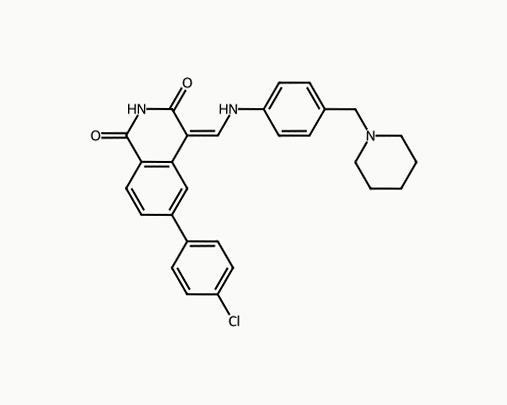 O=C1NC(=O)c2ccc(-c3ccc(Cl)cc3)cc2/C1=C/Nc1ccc(CN2CCCCC2)cc1